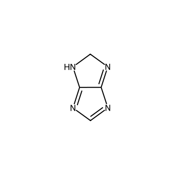 C1=NC2=NCNC2=N1